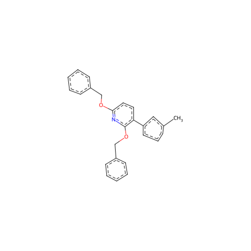 Cc1cccc(-c2ccc(OCc3ccccc3)nc2OCc2ccccc2)c1